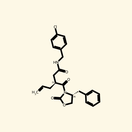 C=CC[C@@H](CC(=O)NCc1ccc(Cl)cc1)C(=O)N1C(=O)OC[C@H]1Cc1ccccc1